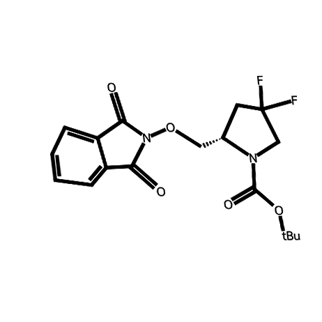 CC(C)(C)OC(=O)N1CC(F)(F)C[C@H]1CON1C(=O)c2ccccc2C1=O